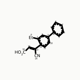 CCc1cc(-c2ccccc2)ccc1C(C#N)=CC(=O)O